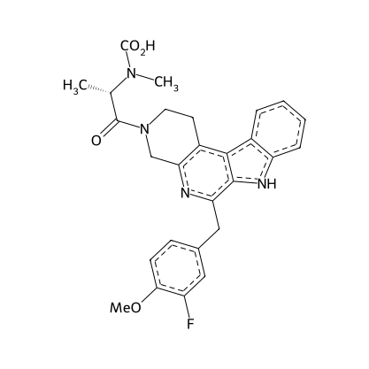 COc1ccc(Cc2nc3c(c4c2[nH]c2ccccc24)CCN(C(=O)[C@H](C)N(C)C(=O)O)C3)cc1F